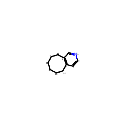 [c]1nccc2c1CCCCCC2